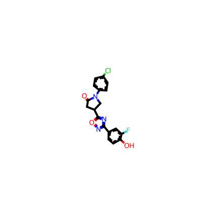 O=C1CC(c2nc(-c3ccc(O)c(F)c3)no2)CN1c1ccc(Cl)cc1